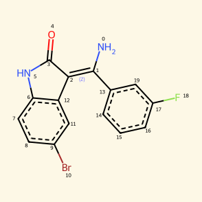 N/C(=C1\C(=O)Nc2ccc(Br)cc21)c1cccc(F)c1